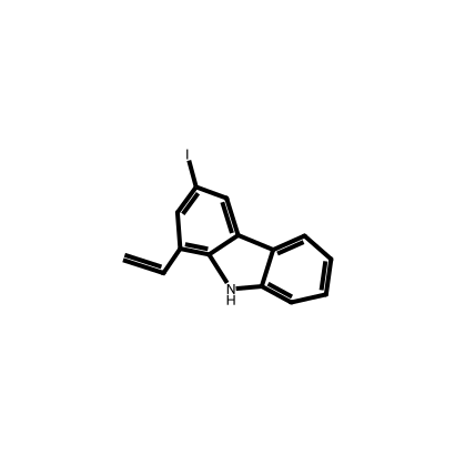 C=Cc1cc(I)cc2c1[nH]c1ccccc12